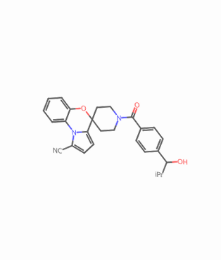 CC(C)C(O)c1ccc(C(=O)N2CCC3(CC2)Oc2ccccc2-n2c(C#N)ccc23)cc1